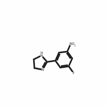 O=[N+]([O-])c1cc(F)cc(C2=NCCN2)c1